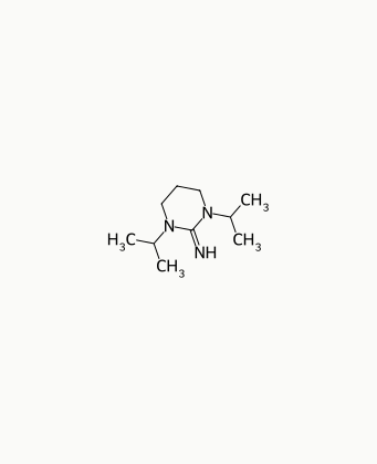 CC(C)N1CCCN(C(C)C)C1=N